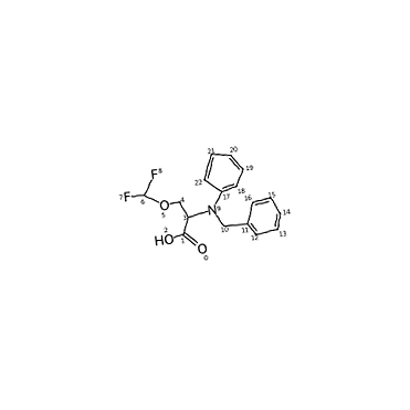 O=C(O)C(COC(F)F)N(Cc1ccccc1)c1ccccc1